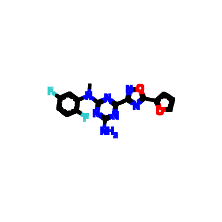 CN(c1nc(N)nc(-c2noc(-c3ccco3)n2)n1)c1cc(F)ccc1F